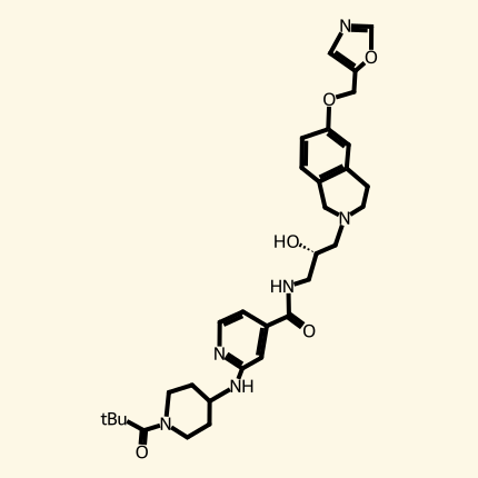 CC(C)(C)C(=O)N1CCC(Nc2cc(C(=O)NC[C@H](O)CN3CCc4cc(OCc5cnco5)ccc4C3)ccn2)CC1